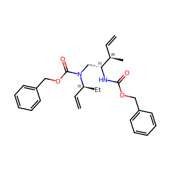 C=C[C@@H](C)[C@@H](CN(C(=O)OCc1ccccc1)[C@H](C=C)CC)NC(=O)OCc1ccccc1